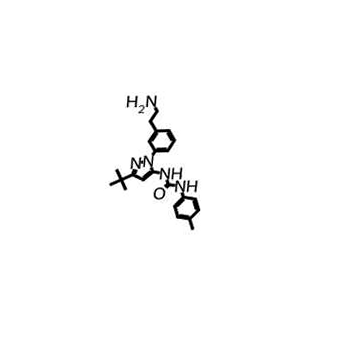 Cc1ccc(NC(=O)Nc2cc(C(C)(C)C)nn2-c2cccc(CCN)c2)cc1